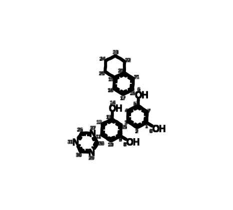 Oc1cccc(O)c1.Oc1cccc(O)c1.c1ccc2c(c1)CCCC2.c1ncncn1